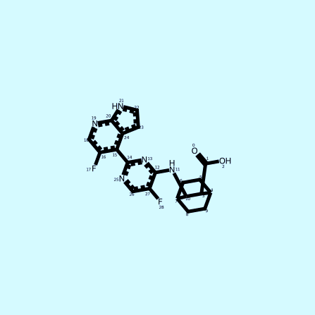 O=C(O)C1C2CCC(CC2)C1Nc1nc(-c2c(F)cnc3[nH]ccc23)ncc1F